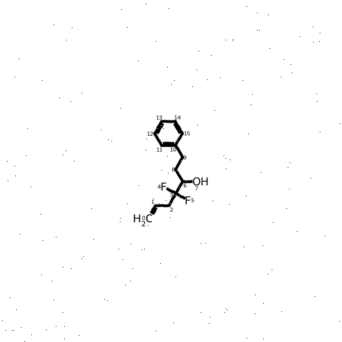 C=CCC(F)(F)C(O)CCc1ccccc1